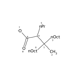 CCCCCCCCC(C)(CCCCCCCC)C(CCC)C([O])=O